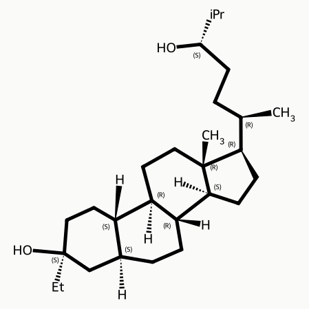 CC[C@]1(O)CC[C@H]2[C@@H](CC[C@@H]3[C@@H]2CC[C@]2(C)[C@@H]([C@H](C)CC[C@H](O)C(C)C)CC[C@@H]32)C1